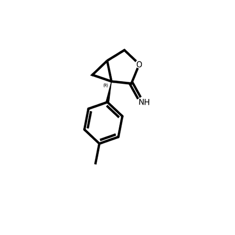 Cc1ccc([C@@]23CC2COC3=N)cc1